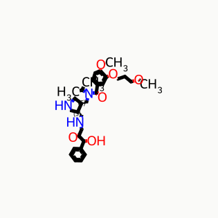 COCCCOc1cc(C(=O)N(C[C@@H]2CNC[C@H]2CNCC(=O)C(O)c2ccccc2)C(C)C)ccc1OC